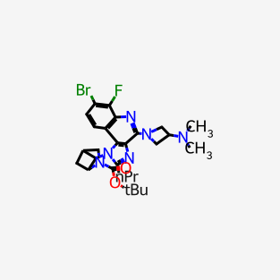 CCCc1nc2c(N3CC(N(C)C)C3)nc3c(F)c(Br)ccc3c2n1C1C2CC1N(C(=O)OC(C)(C)C)C2